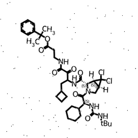 CC(C)(C)NC(=O)N[C@H](C(=O)N1C[C@H]2[C@@H]([C@H]1C(=O)NC(CC1CCC1)C(=O)C(=O)NCCC(=O)OC(C)(C)c1ccccc1)C2(Cl)Cl)C1CCCCC1